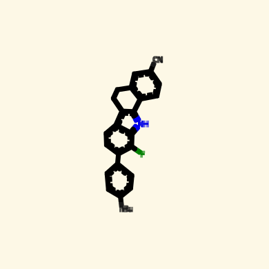 CCCCc1ccc(-c2ccc3c4c([nH]c3c2F)-c2ccc(C#N)cc2CC4)cc1